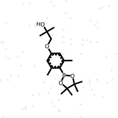 Cc1cc(OCC(C)(C)O)cc(C)c1B1OC(C)(C)C(C)(C)O1